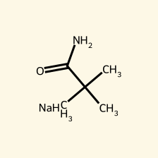 CC(C)(C)C(N)=O.[NaH]